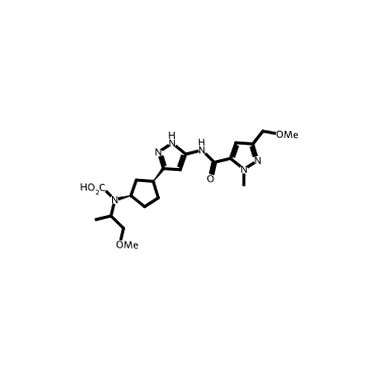 COCc1cc(C(=O)Nc2cc([C@H]3CC[C@@H](N(C(=O)O)C(C)COC)C3)n[nH]2)n(C)n1